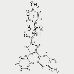 C=C/C=C\C(=C/C)C1=NN(C(=O)NS(=O)(=O)C(/C=C\C=C)=C/C)CC1c1ccccc1